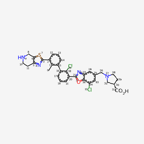 Cc1c(-c2nc3c(s2)CNCC3)cccc1-c1cccc(-c2nc3cc(CN4CC[C@@H](C(=O)O)C4)cc(Cl)c3o2)c1Cl